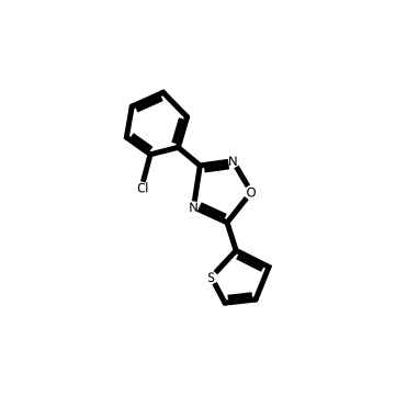 Clc1ccccc1-c1noc(-c2cccs2)n1